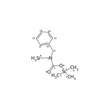 C[Si](C)(C)OC(=O)N([SiH3])Cc1ccccc1